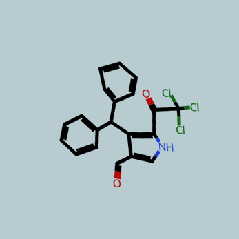 O=Cc1c[nH]c(C(=O)C(Cl)(Cl)Cl)c1C(c1ccccc1)c1ccccc1